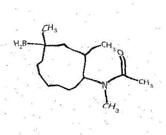 BC1(C)CCCC(N(C)C(C)=O)C(C)C1